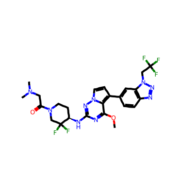 COc1nc(N[C@@H]2CCN(C(=O)CN(C)C)CC2(F)F)nn2ccc(-c3ccc4nnn(CC(F)(F)F)c4c3)c12